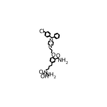 NC(=O)c1cc(CCCCN(N)C(=O)O)ccc1OCCCN1CCN(C(c2ccccc2)c2ccc(Cl)cc2)CC1